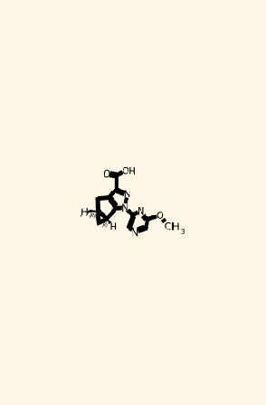 COc1cncc(-n2nc(C(=O)O)c3c2[C@@H]2C[C@@H]2C3)n1